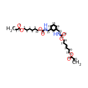 C=CC(=O)OCCCCCCOC(=O)NCc1cccc(CNC(=O)OCCCCCCOC(=O)C=C)c1